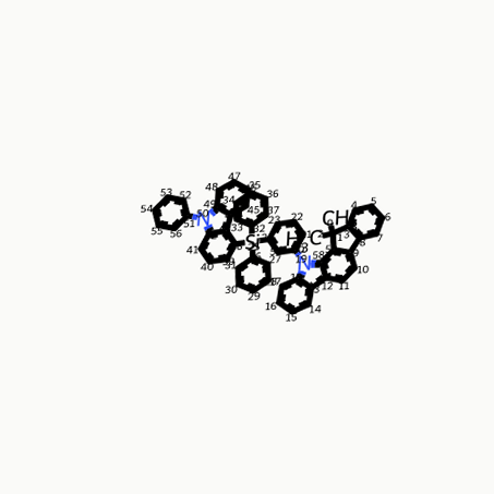 CC1(C)c2ccccc2-c2ccc3c4ccccc4n(-c4cccc([Si](c5ccccc5)(c5ccccc5)c5cccc6c5c5ccccc5n6-c5ccccc5)c4)c3c21